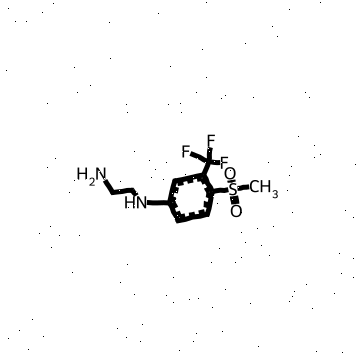 CS(=O)(=O)c1ccc(NCCN)cc1C(F)(F)F